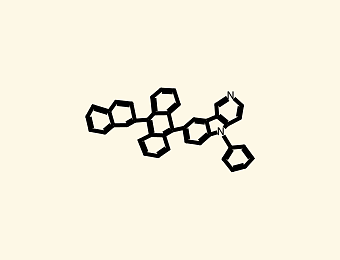 c1ccc(-n2c3ccncc3c3cc(-c4c5ccccc5c(-c5ccc6ccccc6c5)c5ccccc45)ccc32)cc1